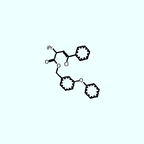 CC(C)C(C=C(Cl)c1ccccc1)C(=O)OCc1cccc(Oc2ccccc2)c1